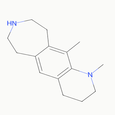 Cc1c2c(cc3c1N(C)CCC3)CCNCC2